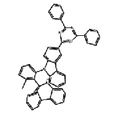 Cc1cccc(-n2c3ccccc3c3cc(-c4nc(-c5ccccc5)nc(-c5ccccc5)n4)ccc32)c1C(=O)Nc1ccccc1-c1ccccc1